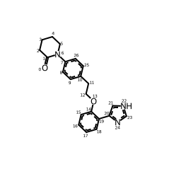 O=C1CCCCN1c1ccc(CCOc2ccccc2-c2c[nH]cn2)cc1